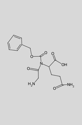 NCC(=O)N(C(=O)OCc1ccccc1)C(CCC(N)=O)C(=O)O